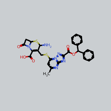 Cc1cc(SCC2=C(C(=O)O)N3C(=O)CC3SC2N)n2nc(C(=O)OC(c3ccccc3)c3ccccc3)nc2n1